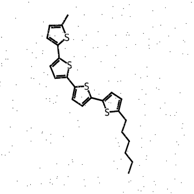 CCCCCCc1ccc(-c2ccc(-c3ccc(-c4ccc(C)s4)s3)s2)s1